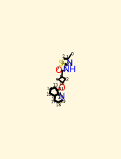 Cc1csc(NC(=O)C2CC(Oc3cccc4cccnc34)C2)n1